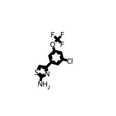 Nc1nc(-c2cc(Cl)cc(OC(F)(F)F)c2)cs1